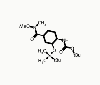 CON(C)C(=O)[C@H]1CC[C@@H](NC(=O)OC(C)(C)C)[C@@H](O[Si](C)(C)C(C)(C)C)C1